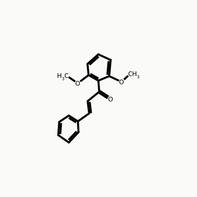 COc1cccc(OC)c1C(=O)/C=C/c1ccccc1